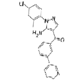 Cc1cc(Cl)ccc1-n1ncc(C(=O)c2cccc(-c3cccnc3)c2)c1N